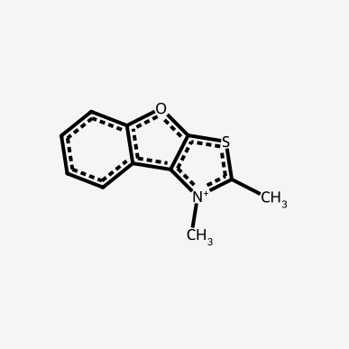 Cc1sc2oc3ccccc3c2[n+]1C